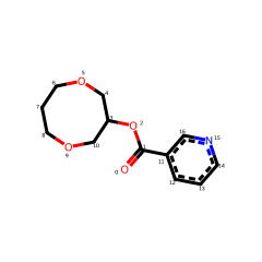 O=C(OC1COCCCOC1)c1cccnc1